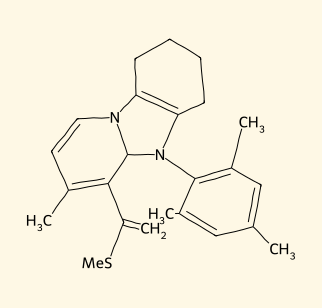 C=C(SC)C1=C(C)C=CN2C3=C(CCCC3)N(c3c(C)cc(C)cc3C)C12